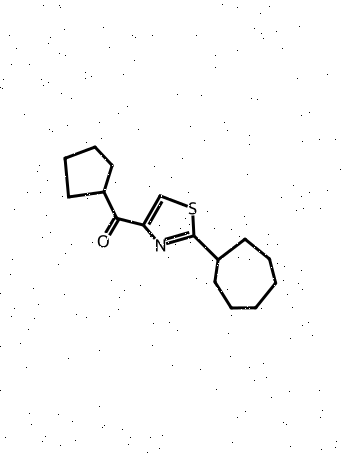 O=C(c1csc(C2CCCCCC2)n1)C1CCCC1